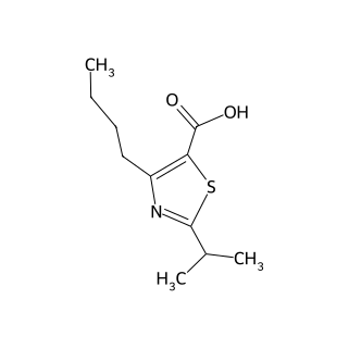 CCCCc1nc(C(C)C)sc1C(=O)O